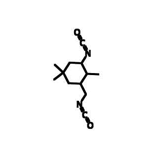 CC1C(CN=C=O)CC(C)(C)CC1N=C=O